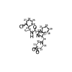 CC(NC(=O)c1nc(CN2CCS(=O)(=O)CC2)c2ccccn12)c1ccccc1Cl